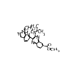 COC(=O)c1ccc2nc(-c3ccc4cnn(C)c4c3)c(N(C)C(C)C)nc2c1